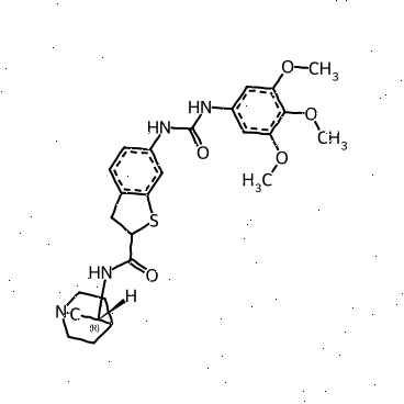 COc1cc(NC(=O)Nc2ccc3c(c2)SC(C(=O)N[C@H]2CN4CCC2CC4)C3)cc(OC)c1OC